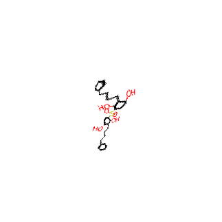 O=S(=O)(c1ccc(O)c(CCCCc2ccccc2)c1O)c1ccc(O)c(CCCCc2ccccc2)c1O